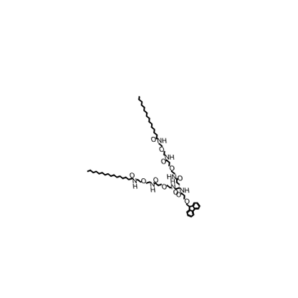 CCCCCCCCCCCCCCCC(=O)NCCOCCNC(=O)CCOCCNC(=O)CC[C@H](NC(=O)CCOCC1c2ccccc2-c2ccccc21)C(=O)NCCOCCC(=O)NCCOCCNC(=O)CCCCCCCCCCCCCCC